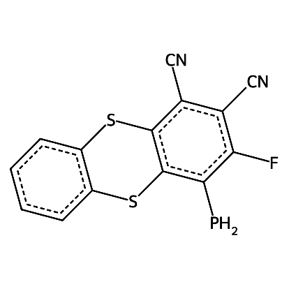 N#Cc1c(F)c(P)c2c(c1C#N)Sc1ccccc1S2